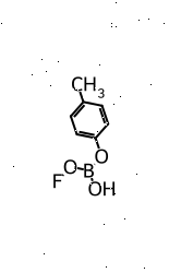 Cc1ccc(OB(O)OF)cc1